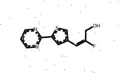 OC/C(F)=C\c1csc(-c2ncccn2)c1